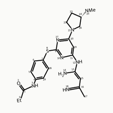 CCC(=O)Nc1ccc(Sc2nc(N/C(N)=C/C(C)=N)cc(N3CC[C@H](NC)C3)n2)cc1